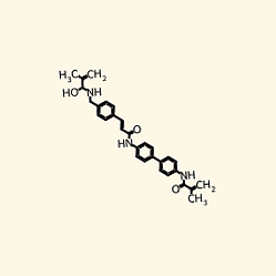 C=C(C)C(=O)Nc1ccc(-c2ccc(NC(=O)/C=C/c3ccc(CNC(O)C(=C)C)cc3)cc2)cc1